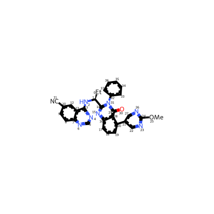 CC[C@H](Nc1ncnc2ccc(C#N)cc12)c1nc2cccc(-c3cnc(OC)nc3)c2c(=O)n1-c1ccccc1